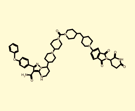 NC(=O)c1c(-c2ccc(Oc3ccccc3)cc2)nn2c1NCCC2C1CCN(C2CCN(C(=O)N3CCC(CC4CCN(c5ccc6c(c5)C(=O)N(C5CCC(=O)NC5=O)C6=O)CC4)CC3)CC2)CC1